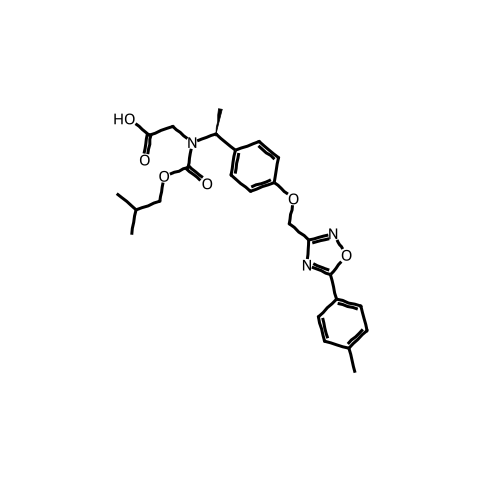 Cc1ccc(-c2nc(COc3ccc([C@H](C)N(CC(=O)O)C(=O)OCC(C)C)cc3)no2)cc1